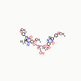 COc1ccc(C2=CN3C(=O)c4cc(OC)c(OCCCP(=O)(CCCO)CCCOc5cc6c(cc5OC)C(=O)N5C=C(c7ccc(OC)cc7)C[C@H]5C(C)N6)cc4N=C[C@@H]3C2)cc1